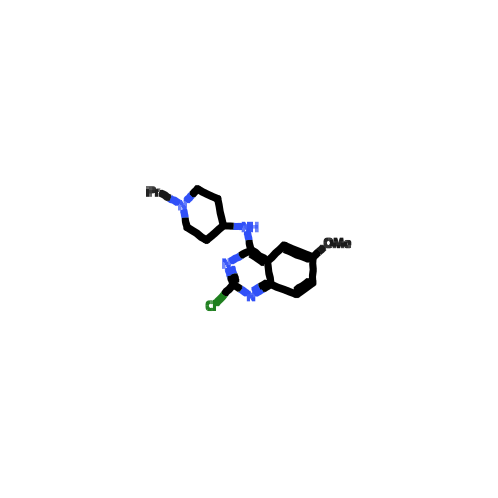 COc1ccc2nc(Cl)nc(NC3CCN(C(C)C)CC3)c2c1